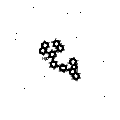 Cc1c(-c2cccc3ccccc23)cc(-c2cccc3ccccc23)nc1-c1cccc(-c2ccc(-c3nc4ccccc4c4nc5ccccn5c34)cc2)c1